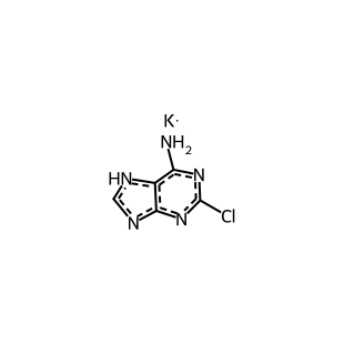 Nc1nc(Cl)nc2nc[nH]c12.[K]